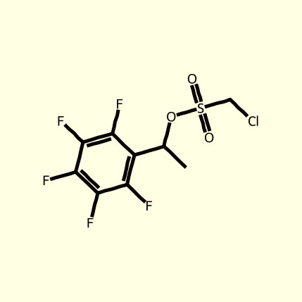 CC(OS(=O)(=O)CCl)c1c(F)c(F)c(F)c(F)c1F